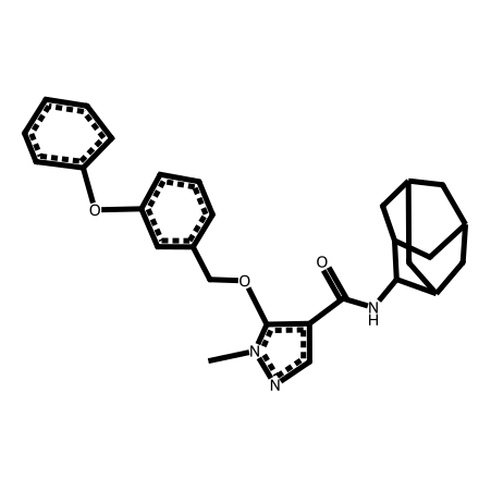 Cn1ncc(C(=O)NC2C3CC4CC(C3)CC2C4)c1OCc1cccc(Oc2ccccc2)c1